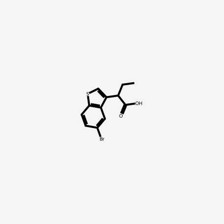 CCC(C(=O)O)c1csc2ccc(Br)cc12